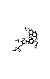 CCOC(=O)CC[C@H](NC(=O)c1ccc(N(CC#N)Cc2ccc3nc(N)nc(O)c3c2)cc1)C(=O)OCC